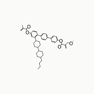 C=C(C)C(=O)Oc1ccc(-c2ccc(-c3ccc(OC(=O)C(=C)COC)cc3)cc2)c(C2CCC(C3CCC(CCCC)CC3)CC2)c1